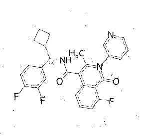 Cc1c(C(=O)N[C@H](c2ccc(F)c(F)c2)C2CCC2)c2cccc(F)c2c(=O)n1-c1cccnc1